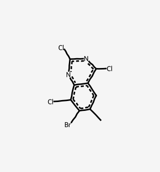 Cc1cc2c(Cl)nc(Cl)nc2c(Cl)c1Br